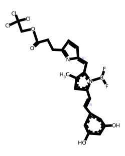 Cc1cc(/C=C/c2cc(O)cc(O)c2)n(B(F)F)c1/C=C1/C=CC(CCC(=O)OCC(Cl)(Cl)Cl)=N1